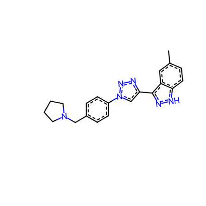 Cc1ccc2[nH]nc(-c3cn(-c4ccc(CN5CCCC5)cc4)nn3)c2c1